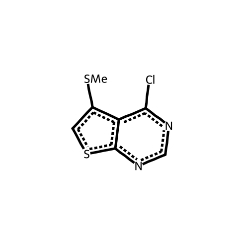 CSc1csc2ncnc(Cl)c12